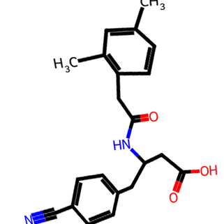 Cc1ccc(CC(=O)NC(CC(=O)O)Cc2ccc(C#N)cc2)c(C)c1